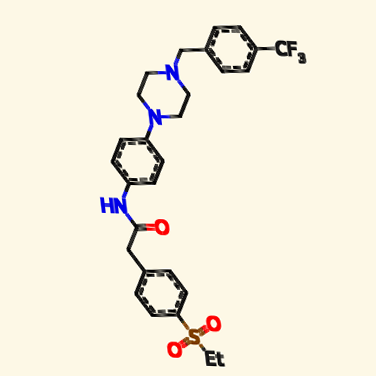 CCS(=O)(=O)c1ccc(CC(=O)Nc2ccc(N3CCN(Cc4ccc(C(F)(F)F)cc4)CC3)cc2)cc1